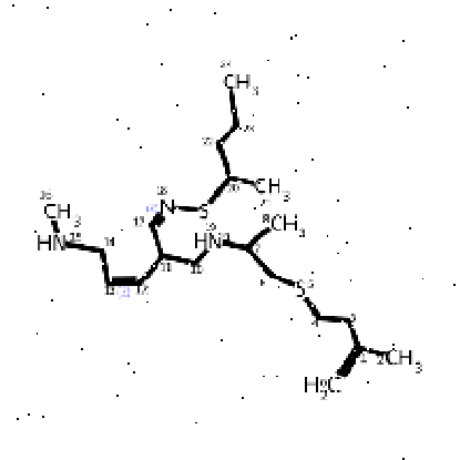 C=C(C)CCSCC(C)NCC(/C=C\CNC)/C=N\SC(C)CCC